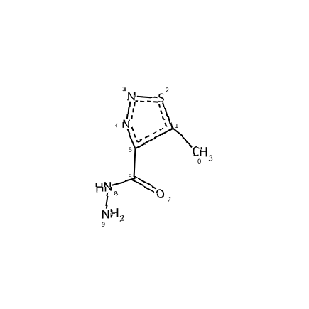 Cc1snnc1C(=O)NN